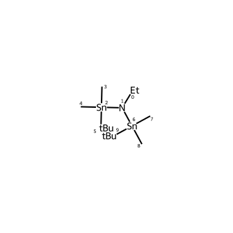 CC[N]([Sn]([CH3])([CH3])[C](C)(C)C)[Sn]([CH3])([CH3])[C](C)(C)C